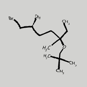 CCC(C)(CC[C@H](O)CBr)OC(C)(C)C